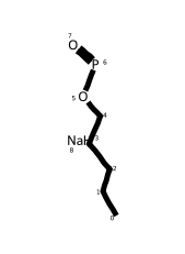 CCCCCOP=O.[NaH]